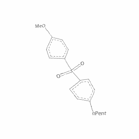 CCCCCc1ccc(S(=O)(=O)c2ccc(OC)cc2)cc1